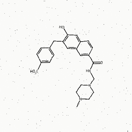 CN1CCN(CNC(=O)c2ccc3cc(O)c(Cc4ccc(C(=O)O)cc4)cc3c2)CC1